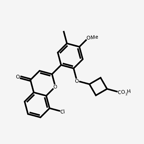 COc1cc(OC2CC(C(=O)O)C2)c(-c2cc(=O)c3cccc(Cl)c3o2)cc1C